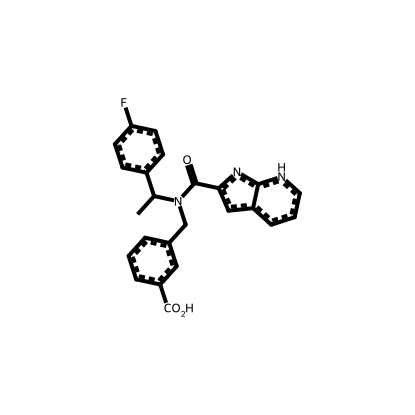 CC(c1ccc(F)cc1)N(Cc1cccc(C(=O)O)c1)C(=O)c1cc2ccc[nH]c-2n1